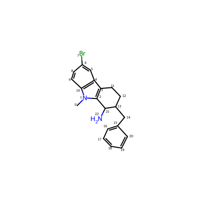 Cn1c2c(c3cc(Br)ccc31)CCC(Cc1ccccc1)C2N